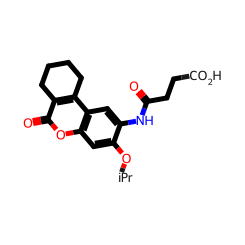 CC(C)Oc1cc2oc(=O)c3c(c2cc1NC(=O)CCC(=O)O)CCCC3